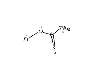 CCOC(=S)SC